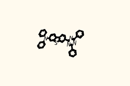 c1ccc(-c2nc(-c3ccccc3)nc(-c3ccc4c(c3)sc3cc(N(c5ccccc5)c5ccccc5)ccc34)n2)cc1